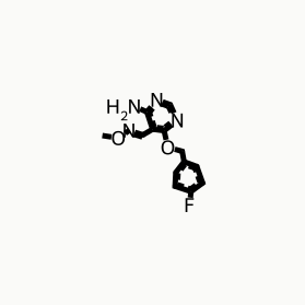 CO/N=C/c1c(N)ncnc1OCc1ccc(F)cc1